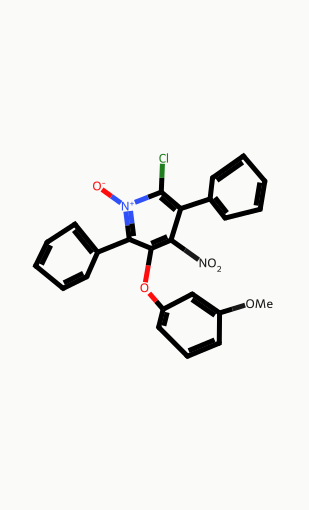 COc1cccc(Oc2c([N+](=O)[O-])c(-c3ccccc3)c(Cl)[n+]([O-])c2-c2ccccc2)c1